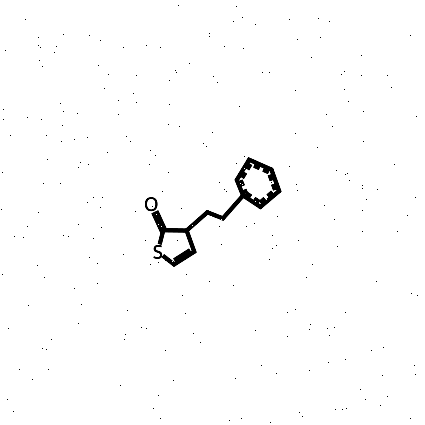 O=C1SC=CC1CCc1ccccc1